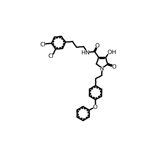 O=C(NCCCc1ccc(Cl)c(Cl)c1)C1=C(O)C(=O)N(CCc2ccc(Oc3ccccc3)cc2)C1